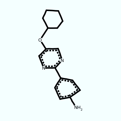 Nc1ccc(-c2ncc(OC3CCCCC3)cn2)cc1